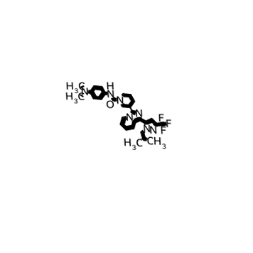 CC(C)Cn1nc(C(F)(F)F)cc1-c1nc([C@@H]2CCCN(C(=O)Nc3ccc(N(C)C)cc3)C2)n2ccccc12